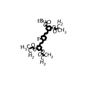 C=C(C)C(=O)Oc1cc(/C=C/c2ccc(/C=C/c3cc(OC(=O)C(=C)C)cc(OC(=O)C(C)(C)C)c3)cc2F)cc(OC(=O)C(=C)C)c1